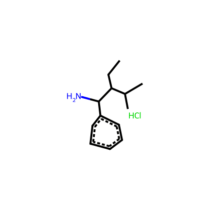 CCC(C(C)C)C(N)c1ccccc1.Cl